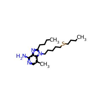 CCCCSCCCCCn1c(CCCC)nc2c(N)ncc(C)c21